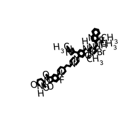 COc1cc(N2CCN(CCC3CCN(c4cc5c(cc4F)C(=O)N(C4CCC(=O)NC4=O)C5=O)CC3)CC2)c(-c2cnn(C)c2)cc1Nc1ncc(Br)c(Nc2cnc3ccccc3c2P(C)C)n1